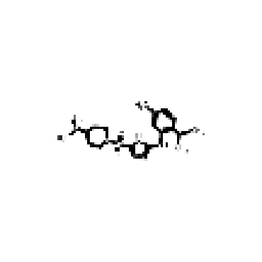 Cc1ccc(C(C)C)c(Nc2nnc(S(=O)(=O)N3CCC(N(C)C)CC3)[nH]2)c1